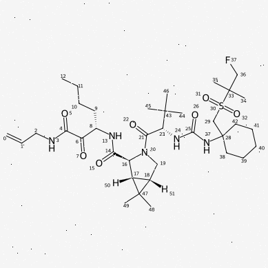 C=CCNC(=O)C(=O)[C@H](CCCC)NC(=O)[C@@H]1[C@@H]2[C@H](CN1C(=O)[C@@H](NC(=O)NC1(CS(=O)(=O)C(C)(C)CF)CCCCC1)C(C)(C)C)C2(C)C